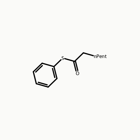 CCCCCCC(=O)Sc1ccccc1